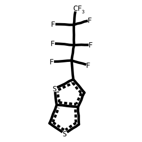 FC(F)(F)C(F)(F)C(F)(F)C(F)(F)c1cc2cscc2s1